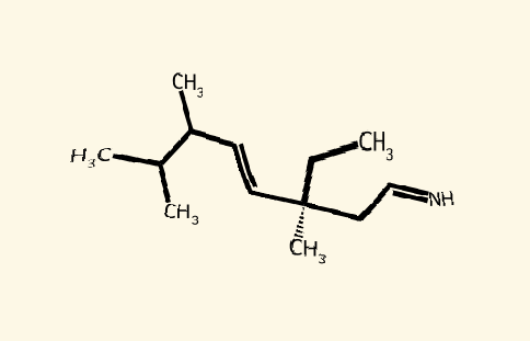 CC[C@](C)(/C=C/C(C)C(C)C)CC=N